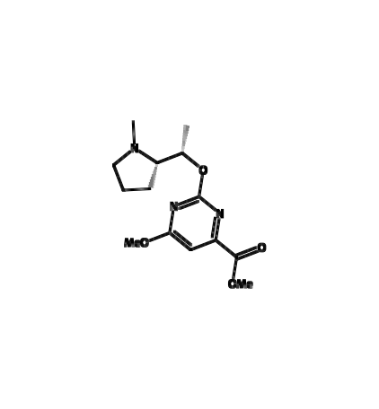 COC(=O)c1cc(OC)nc(O[C@@H](C)[C@@H]2CCCN2C)n1